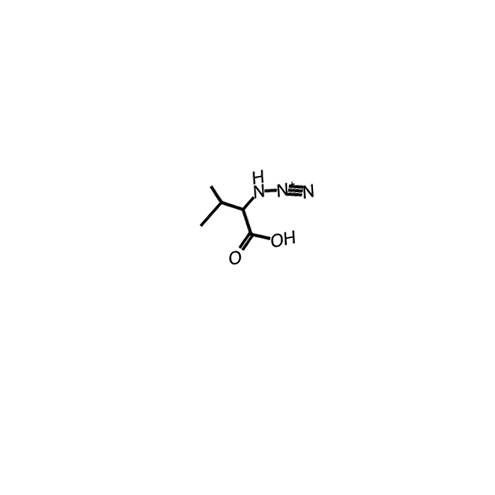 CC(C)C(N[N+]#N)C(=O)O